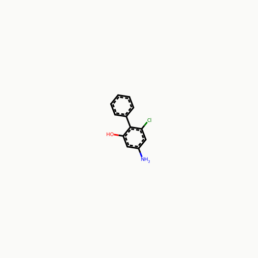 Nc1cc(O)c(-c2ccccc2)c(Cl)c1